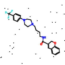 O=C(NCCCCN1CCN(c2ccc(C(F)(F)F)cc2)CC1)C1=Cc2ccccc2OC1